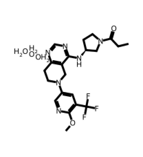 CCC(=O)N1CC[C@H](Nc2ncnc3c2CN(c2cnc(OC)c(C(F)(F)F)c2)CC3)C1.O.O.O